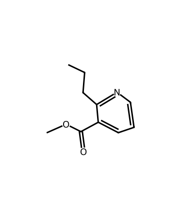 CCCc1ncccc1C(=O)OC